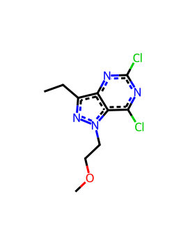 CCc1nn(CCOC)c2c(Cl)nc(Cl)nc12